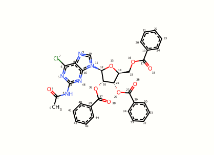 CC(=O)Nc1nc(Cl)c2ncn([C@H]3O[C@@H](COC(=O)c4ccccc4)[C@H](OC(=O)c4ccccc4)[C@@H]3OC(=O)c3ccccc3)c2n1